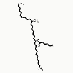 CCCCCC=CCCCCC(CCC=CCCCC(C)CCC/C=C\CCCCC)OC(=O)CCCCBr